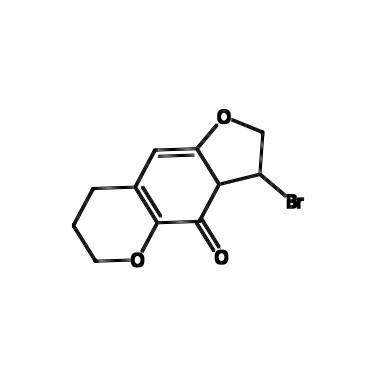 O=C1C2=C(C=C3OCC(Br)C13)CCCO2